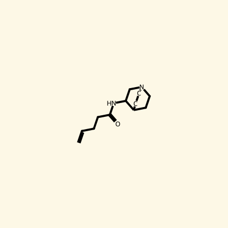 C=CCCC(=O)NC1CN2CCC1CC2